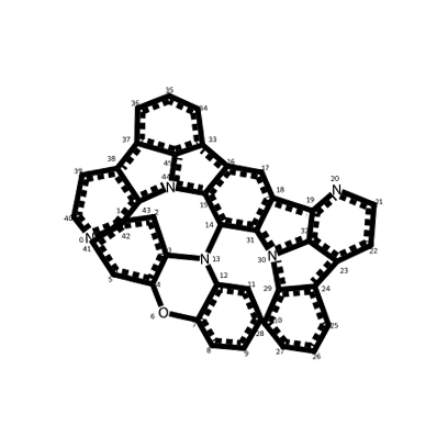 c1ccc2c(c1)Oc1ccccc1N2c1c2c(cc3c4nccc5c6ccccc6n(c13)c54)c1cccc3c4ccncc4n2c31